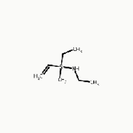 C=C[Si](C)(CC)NCC